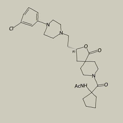 CC(=O)NC1(C(=O)N2CCC3(CC2)C[C@H](CCN2CCN(c4cccc(Cl)c4)CC2)OC3=O)CCCC1